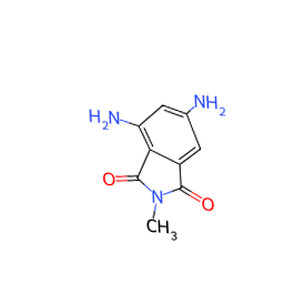 CN1C(=O)c2cc(N)cc(N)c2C1=O